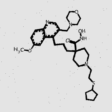 COc1ccc2ncc(CN3CCOCC3)c(CCCC3(C(=O)NO)CCN(CCSC4CCCC4)CC3)c2c1